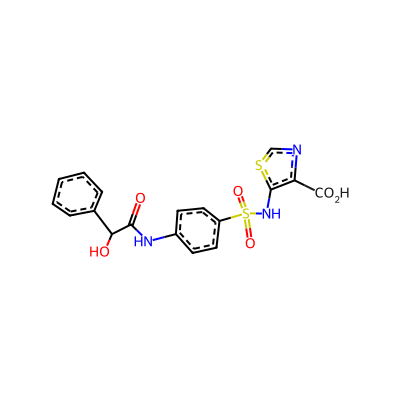 O=C(O)c1ncsc1NS(=O)(=O)c1ccc(NC(=O)C(O)c2ccccc2)cc1